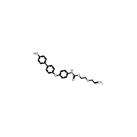 C=CCOCCOC(=O)Nc1ccc(Oc2ccc(-c3ccc(O)cc3)cc2)cc1